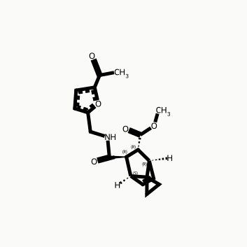 COC(=O)[C@H]1[C@H](C(=O)NCc2ccc(C(C)=O)o2)[C@@H]2C=C[C@H]1C21CC1